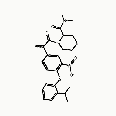 C=C(C(=O)N1CCNCC1C(=O)N(C)C)c1ccc(Sc2ccccc2C(C)C)c([N+](=O)[O-])c1